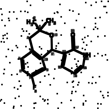 CC1(C)Cc2ccc(F)cc2C(c2ccc[nH]c2=O)O1